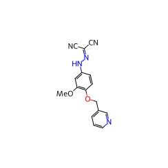 COc1cc(NN=C(C#N)C#N)ccc1OCc1cccnc1